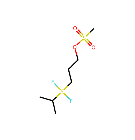 CC(C)S(F)(F)CCCOS(C)(=O)=O